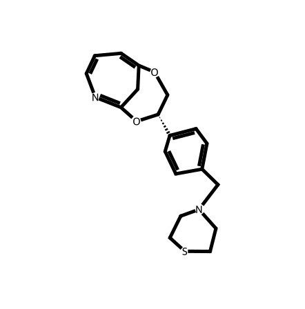 C1=CN=C2CC(=C1)OC[C@H](c1ccc(CN3CCSCC3)cc1)O2